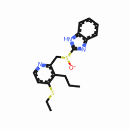 CCCc1c(SCC)ccnc1C[S+]([O-])c1nc2ccccc2[nH]1